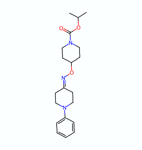 CC(C)OC(=O)N1CCC(ON=C2CCN(c3ccccc3)CC2)CC1